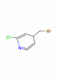 ClC1=CC(CBr)C=C=N1